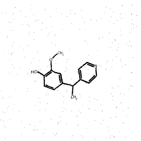 COc1cc(C(C)c2ccncc2)ccc1O